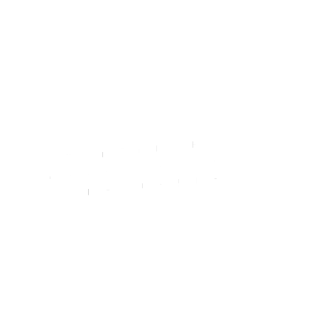 [CH]=Cc1cc[c]cc1C(F)(F)C(F)(F)C(F)(F)C(F)(F)C(F)(F)C(F)(F)C(F)(F)C(F)(F)C(F)(F)C(F)(F)F